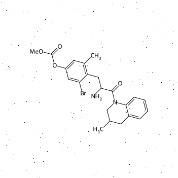 COC(=O)Oc1cc(C)c(CC(N)C(=O)N2CC(C)Cc3ccccc32)c(Br)c1